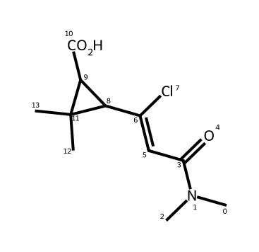 CN(C)C(=O)C=C(Cl)C1C(C(=O)O)C1(C)C